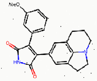 COc1cccc(C2=C(c3cc4c5c(c3)CCN5CCC4)C(=O)NC2=O)c1